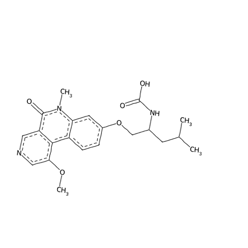 COc1cncc2c(=O)n(C)c3cc(OCC(CC(C)C)NC(=O)O)ccc3c12